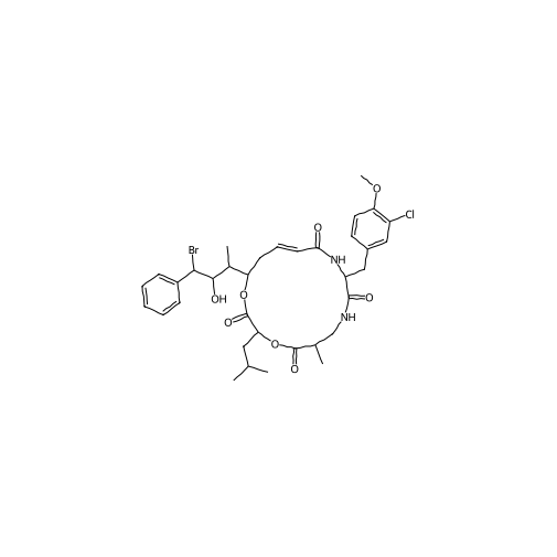 COc1ccc(CC2NC(=O)/C=C/CC(C(C)C(O)C(Br)c3ccccc3)OC(=O)C(CC(C)C)OC(=O)C(C)CNC2=O)cc1Cl